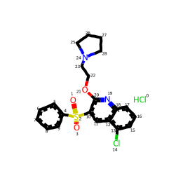 Cl.O=S(=O)(c1ccccc1)c1cc2c(Cl)cccc2nc1OCCN1CCCC1